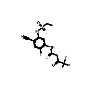 CCS(=O)(=O)Nc1cc(NC(=O)CC(=O)C(F)(F)F)c(F)cc1C#N